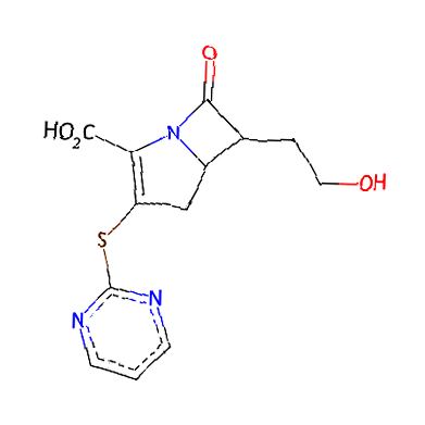 O=C(O)C1=C(Sc2ncccn2)CC2C(CCO)C(=O)N12